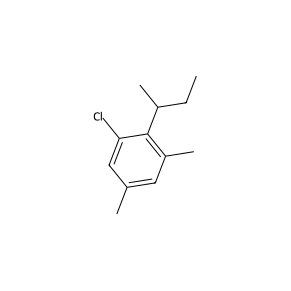 CCC(C)c1c(C)cc(C)cc1Cl